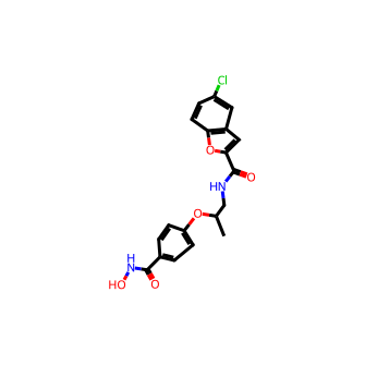 CC(CNC(=O)c1cc2cc(Cl)ccc2o1)Oc1ccc(C(=O)NO)cc1